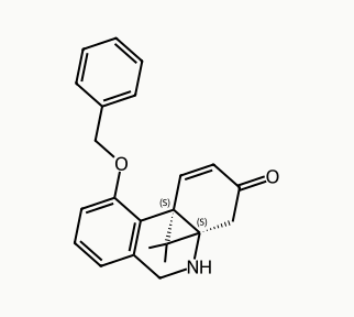 CC1(C)[C@@]23CC(=O)C=C[C@@]12c1c(cccc1OCc1ccccc1)CN3